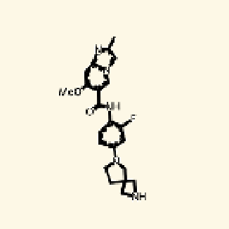 COc1cc2nc(C)cn2cc1C(=O)Nc1ccc(N2CCC3(CNC3)C2)cc1F